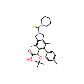 Cc1ccc(-c2c(C)c3c(c(C)c2C(OC(C)(C)C)C(=O)O)CN(C(=S)N2CCCCC2)C3)cc1